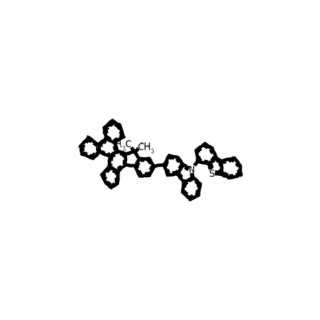 CC1(C)c2cc(-c3ccc4c(c3)c3ccccc3n4-c3cccc4c3sc3ccccc34)ccc2-c2c1c1c3ccccc3c3ccccc3c1c1ccccc21